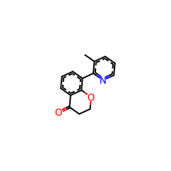 Cc1cccnc1-c1cccc2c1OCCC2=O